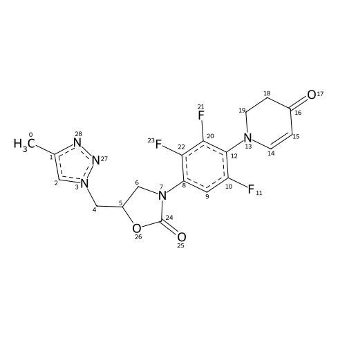 Cc1cn(CC2CN(c3cc(F)c(N4C=CC(=O)CC4)c(F)c3F)C(=O)O2)nn1